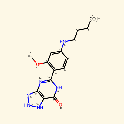 CCOc1cc(NCCCC(=O)O)ccc1-c1nc2c(c(=O)[nH]1)NNN2